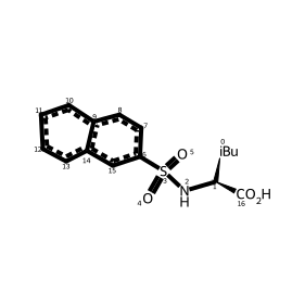 CC[C@H](C)[C@H](NS(=O)(=O)c1ccc2ccccc2c1)C(=O)O